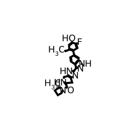 CCc1cc(O)c(F)cc1-c1ccc2c(-c3nc4c([nH]3)CNC(C(=O)N3CCC[C@H]3C)C4)n[nH]c2c1